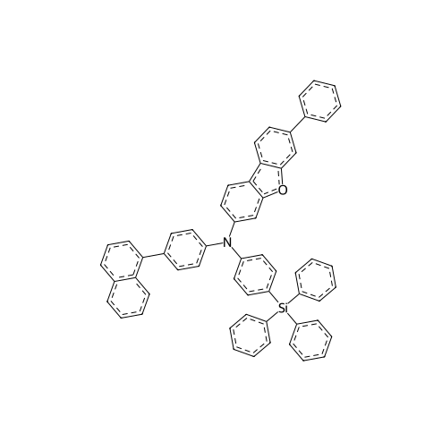 c1ccc(-c2ccc3c(c2)oc2cc(N(c4ccc(-c5cccc6ccccc56)cc4)c4ccc([Si](c5ccccc5)(c5ccccc5)c5ccccc5)cc4)ccc23)cc1